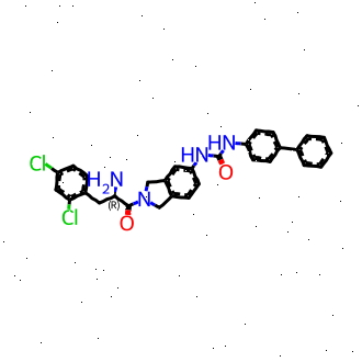 N[C@H](Cc1ccc(Cl)cc1Cl)C(=O)N1Cc2ccc(NC(=O)Nc3ccc(-c4ccccc4)cc3)cc2C1